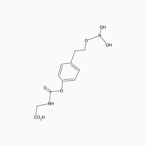 O=C(O)CNC(=O)Oc1ccc(CCON(O)O)cc1